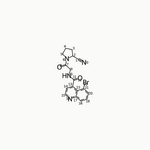 N#CC1CCCN1C(=O)CNC(=O)c1ccnc2cccc(Br)c12